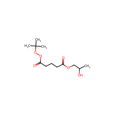 CC(O)COC(=O)CCCC(=O)OOC(C)(C)C